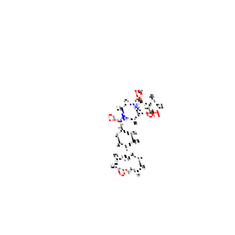 O=C(c1ccc(-c2cccc3occc23)cc1)N1CCN(C(=O)C2(O)CC2)CC1